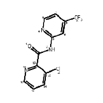 O=C(Nc1cc(C(F)(F)F)ccn1)c1ncccc1Cl